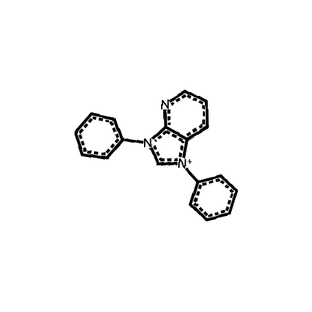 c1ccc(-n2c[n+](-c3ccccc3)c3cccnc32)cc1